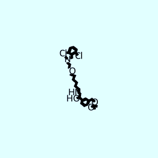 CN(CCCOCCCCCCNCC(O)c1ccc2c(c1)COC(C)(C)O2)Cc1c(Cl)cccc1Cl